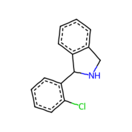 Clc1ccccc1C1NCc2ccccc21